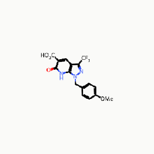 COc1ccc(Cn2nc(C(F)(F)F)c3cc(C(=O)O)c(=O)[nH]c32)cc1